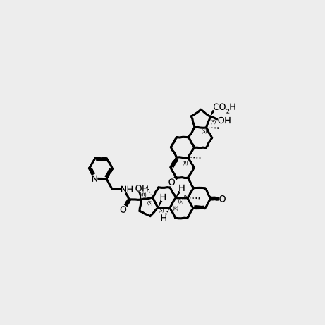 C[C@]12CC(C3CC(=O)C=C4CC[C@H]5[C@@H]6CC[C@](O)(C(=O)NCc7ccccn7)[C@@]6(C)CC[C@@H]5[C@]43C)C(=O)C=C1CCC1C2CC[C@@]2(C)C1CC[C@@]2(O)C(=O)O